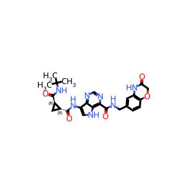 CC(C)(C)NC(=O)[C@@H]1C[C@H]1C(=O)Nc1c[nH]c2c(C(=O)NCc3ccc4c(c3)NC(=O)CO4)ncnc12